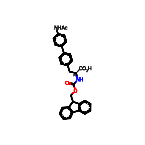 CC(=O)Nc1ccc(-c2ccc(C[C@@H](NC(=O)OCC3c4ccccc4-c4ccccc43)C(=O)O)cc2)cc1